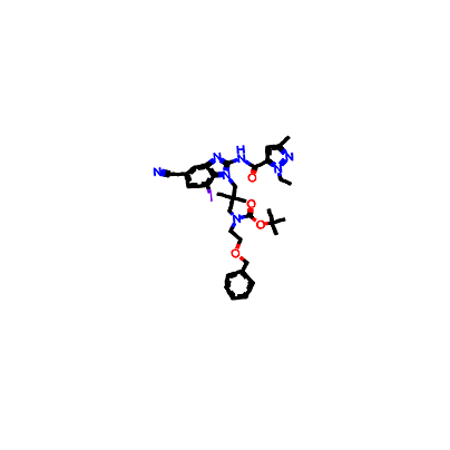 CCn1nc(C)cc1C(=O)Nc1nc2cc(C#N)cc(I)c2n1CC(C)(C)CN(CCOCc1ccccc1)C(=O)OC(C)(C)C